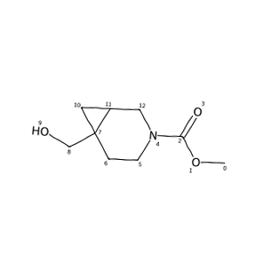 COC(=O)N1CCC2(CO)CC2C1